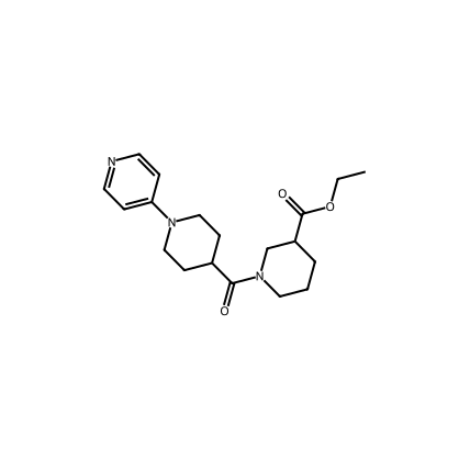 CCOC(=O)C1CCCN(C(=O)C2CCN(c3ccncc3)CC2)C1